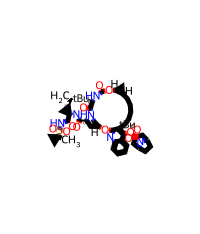 C=C[C@@H]1C[C@]1(NC(=O)[C@@H]1C[C@@H]2CN1C(=O)[C@H](C(C)(C)C)NC(=O)O[C@@H]1C[C@H]1CCCCCc1c(nc3ccccc3c1OC1CC3CCC(C1)N3C(=O)OC(C)(C)C)O2)C(=O)NS(=O)(=O)C1(C)CC1